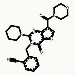 N#Cc1ccccc1Cn1c(N2CCCCC2)nc2c(C(=O)N3CCOCC3)csc2c1=O